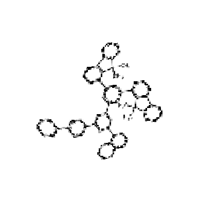 CC1(C)c2ccccc2-c2cccc(-c3cc(-c4cc(-c5ccc(-c6ccccc6)cc5)nc(-c5cccc6ccccc56)n4)cc(-c4cccc5c4C(C)(C)c4ccccc4-5)c3)c21